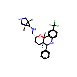 FC(F)(F)c1ccc2c(c1)[C@H]1O[C@@H](CN[C@H]3[C@@H]4CNC[C@@H]43)CC[C@H]1[C@H](c1ccccc1)N2